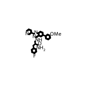 COc1cccc(-c2ccc3nc(-c4cccnc4)nc(NCC(Cc4ccc(F)cc4)C(N)=O)c3c2)c1